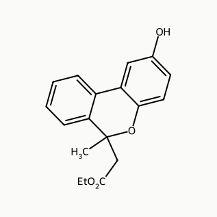 CCOC(=O)CC1(C)Oc2ccc(O)cc2-c2ccccc21